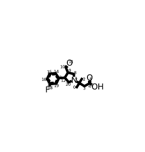 CC(C)(CC(=O)O)N1CC(C=O)C(c2cccc(F)c2)C1